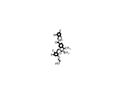 CC1c2ccc(C(=O)NCc3c(F)cc(F)cc3F)cc2N(Cc2cc(OCCO)cc(F)c2F)C(=O)N1C